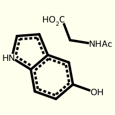 CC(=O)NCC(=O)O.Oc1ccc2[nH]ccc2c1